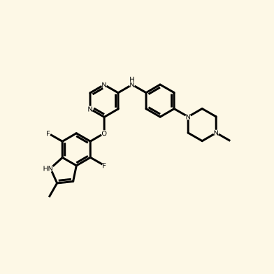 Cc1cc2c(F)c(Oc3cc(Nc4ccc(N5CCN(C)CC5)cc4)ncn3)cc(F)c2[nH]1